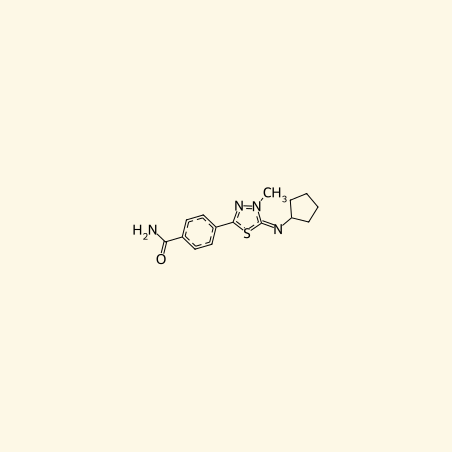 Cn1nc(-c2ccc(C(N)=O)cc2)s/c1=N/C1CCCC1